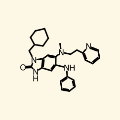 CN(CCc1ccccn1)c1cc2c(cc1Nc1ccccc1)[nH]c(=O)n2CC1CCCCC1